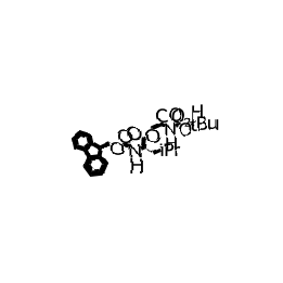 CC(C)C[C@H](NC(=O)OCC1c2ccccc2-c2ccccc21)C(=O)OC[C@H](NC(=O)OC(C)(C)C)C(=O)O